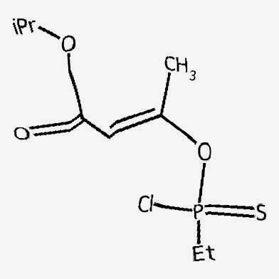 CCP(=S)(Cl)OC(C)=CC(=O)OC(C)C